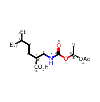 CCC(CC)CC[C@@H](CNC(=O)O[C@@H](C)OC(C)=O)C(=O)O